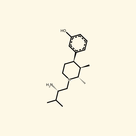 CC(C)[C@H](N)CN1CC[C@@H](c2cccc(O)c2)[C@@H](C)[C@@H]1C